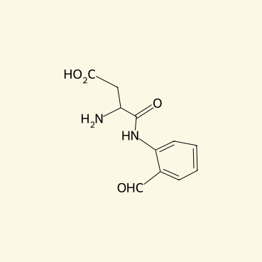 NC(CC(=O)O)C(=O)Nc1ccccc1C=O